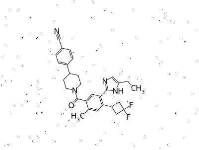 CCc1cnc(-c2cc(C(=O)N3CCC(c4ccc(C#N)cc4)CC3)c(C)cc2C2CC(F)(F)C2)[nH]1